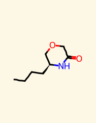 CCCC[C@H]1COCC(=O)N1